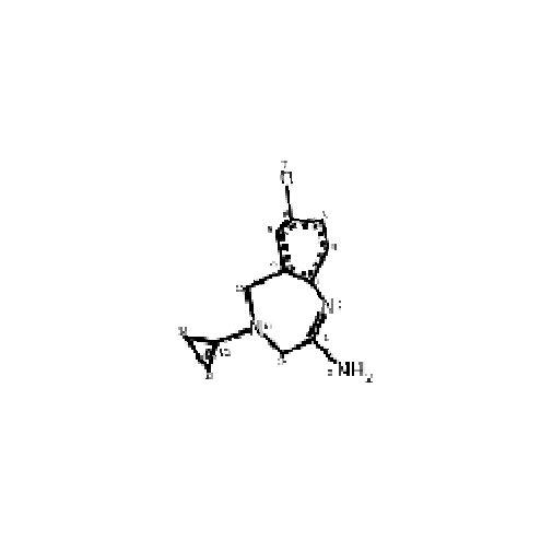 NC1=Nc2ccc(Cl)cc2CN(C2=CC2)C1